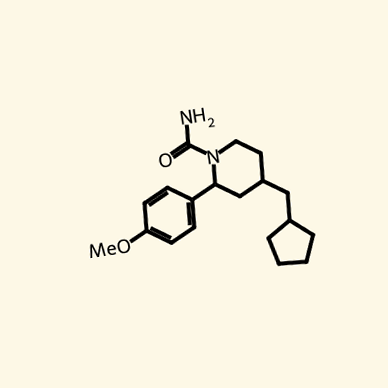 COc1ccc(C2CC(CC3CCCC3)CCN2C(N)=O)cc1